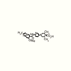 COc1cc2nc(C)cn2cc1C(=O)Nc1ccc(N2C[C@@H](C)N(C(=O)O)[C@@H](C)C2)cn1